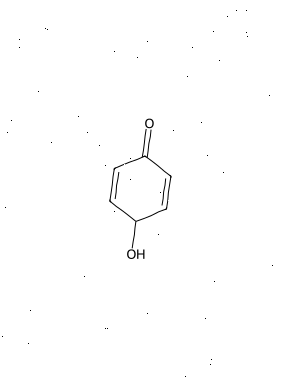 O=C1C=CC(O)C=C1